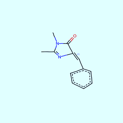 CC1=N/C(=C\c2ccccc2)C(=O)N1C